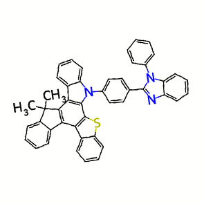 CC1(C)c2ccccc2-c2c1c1c3ccccc3n(-c3ccc(-c4nc5ccccc5n4-c4ccccc4)cc3)c1c1sc3ccccc3c21